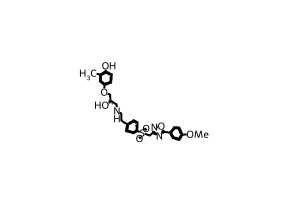 COc1ccc(-c2nc(CS(=O)(=O)c3ccc(CCNC[C@@H](O)COc4ccc(O)c(C)c4)cc3)no2)cc1